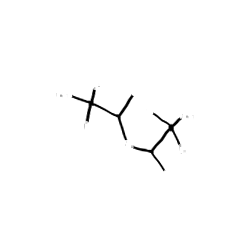 CCCC(F)(Br)C(C)OC(C)C(F)(Br)CCC